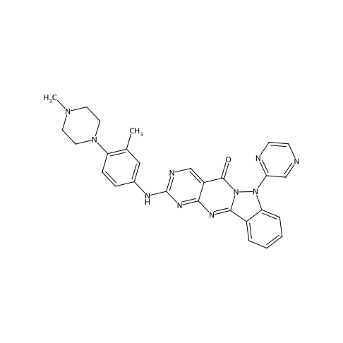 Cc1cc(Nc2ncc3c(=O)n4c(nc3n2)c2ccccc2n4-c2cnccn2)ccc1N1CCN(C)CC1